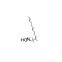 CC=CCCC=CCCC=C(C)C(C)(C)C=NO